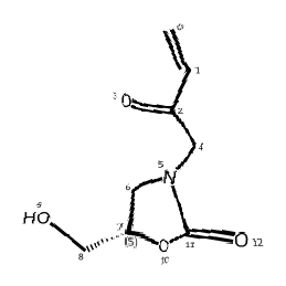 C=CC(=O)CN1C[C@@H](CO)OC1=O